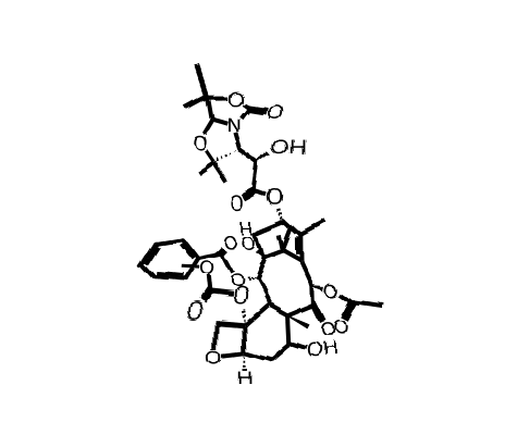 COC(=O)O[C@@]12CO[C@@H]1CC(O)[C@@]1(C)C(=O)[C@H](OC(C)=O)C3=C(C)[C@@H](OC(=O)[C@H](O)[C@H]4N5C(=O)OC(C)(C)C5OC4(C)C)C[C@@](O)([C@@H](OC(=O)c4ccccc4)C12)C3(C)C